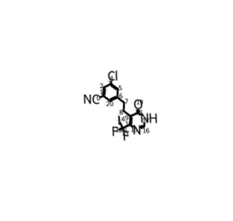 N#Cc1cc(Cl)cc(CCc2c(C(F)(F)I)nc[nH]c2=O)c1